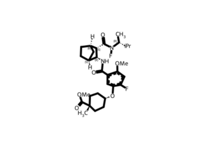 COc1cc(F)c(O[C@H]2CC[C@@](C)(C(=O)OC)CC2)cc1C(=O)N[C@@H]1[C@H]2CC[C@H](C2)[C@@H]1C(=O)N(F)[C@H](C)C(C)C